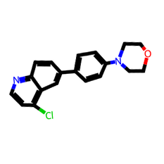 Clc1ccnc2ccc(-c3ccc(N4CCOCC4)cc3)cc12